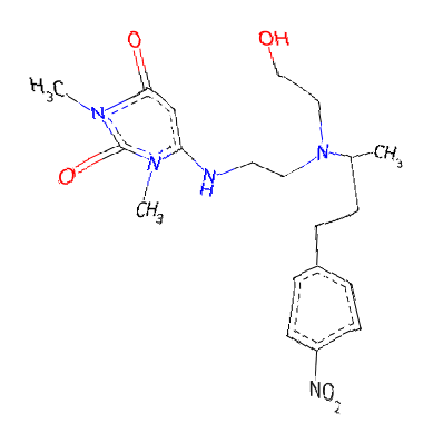 CC(CCc1ccc([N+](=O)[O-])cc1)N(CCO)CCNc1cc(=O)n(C)c(=O)n1C